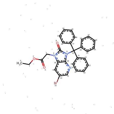 CCOC(=O)Cn1c(=O)n(C(c2ccccc2)(c2ccccc2)c2ccccc2)c2ncc(Br)cc21